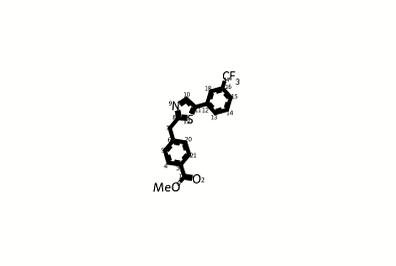 COC(=O)c1ccc(Cc2ncc(-c3cccc(C(F)(F)F)c3)s2)cc1